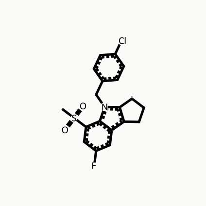 CS(=O)(=O)c1cc(F)cc2c3c(n(Cc4ccc(Cl)cc4)c12)[CH]CC3